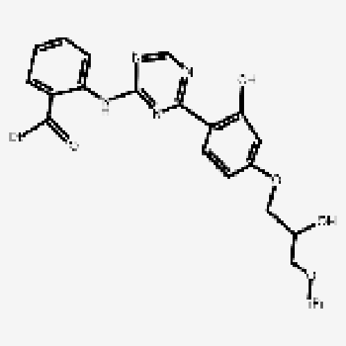 CCCOCC(O)COc1ccc(-c2ncnc(Nc3ccccc3C(=O)CC)n2)c(O)c1